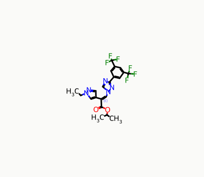 CCn1cc(/C(=C\n2cnc(-c3cc(C(F)(F)F)cc(C(F)(F)F)c3)n2)C(=O)OC(C)C)cn1